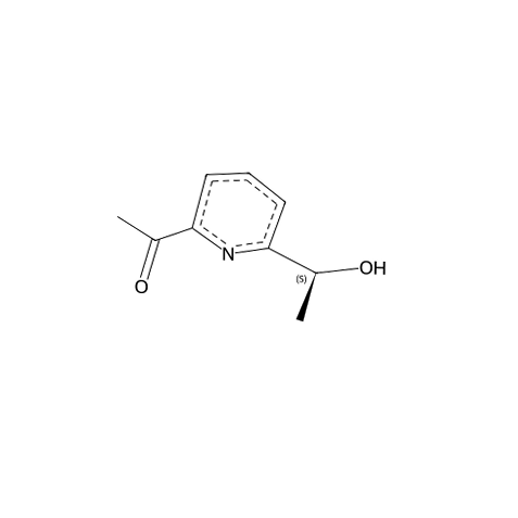 CC(=O)c1cccc([C@H](C)O)n1